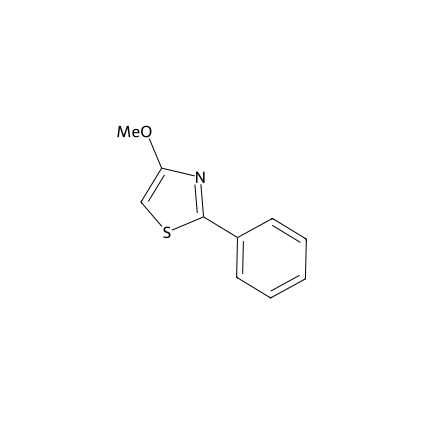 COc1csc(-c2ccccc2)n1